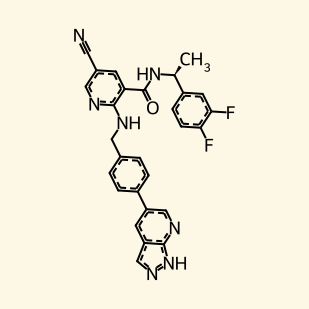 C[C@H](NC(=O)c1cc(C#N)cnc1NCc1ccc(-c2cnc3[nH]ncc3c2)cc1)c1ccc(F)c(F)c1